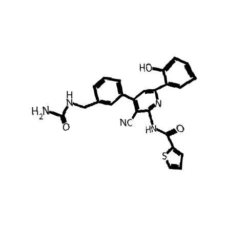 N#Cc1c(-c2cccc(CNC(N)=O)c2)cc(-c2ccccc2O)nc1NC(=O)c1cccs1